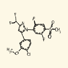 COc1cc(-c2cc(C(F)F)nn2-c2cc(F)c(S(C)(=O)=O)cc2F)ccc1Cl